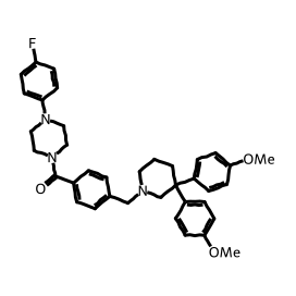 COc1ccc(C2(c3ccc(OC)cc3)CCCN(Cc3ccc(C(=O)N4CCN(c5ccc(F)cc5)CC4)cc3)C2)cc1